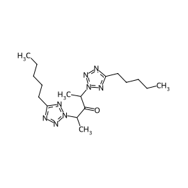 CCCCCc1nnn(C(C)C(=O)C(C)n2nnc(CCCCC)n2)n1